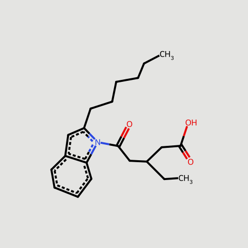 CCCCCCc1cc2ccccc2n1C(=O)CC(CC)CC(=O)O